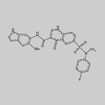 CN(c1ccc(F)cc1)S(=O)(=O)c1ccc2[nH]cc(C(=O)Nc3cc4[nH]ccc4cc3C(C)(C)C)c(=O)c2c1